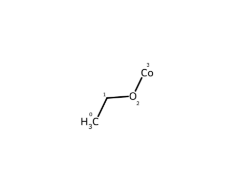 CC[O][Co]